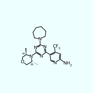 C[C@@H]1COC[C@@H](C)N1c1nc(-c2cnc(N)cc2C(F)(F)F)nc(N2CCCCCC2)n1